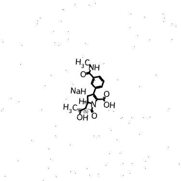 CNC(=O)c1cccc(C2=C(C(=O)O)N3C(=O)[C@H]([C@@H](C)O)[C@H]3C2)c1.[NaH]